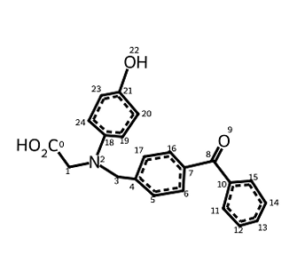 O=C(O)CN(Cc1ccc(C(=O)c2ccccc2)cc1)c1ccc(O)cc1